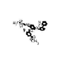 COC(=O)c1ccc(F)c(COc2cc(OCc3cccc(-c4ccccc4)c3C)ccc2CNCCNC(C)=O)c1